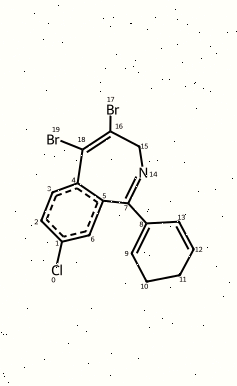 Clc1ccc2c(c1)C(C1=CCCC=C1)=NCC(Br)=C2Br